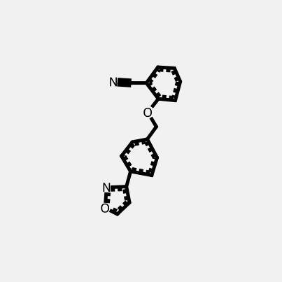 N#Cc1ccccc1OCc1ccc(-c2ccon2)cc1